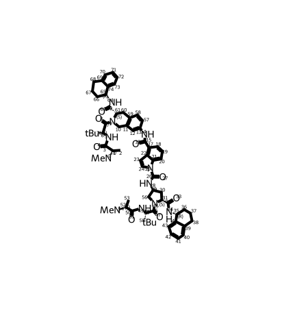 CN[C@@H](C)C(=O)N[C@H](C(=O)N1Cc2cc(NC(=O)c3cccc4c3ccn4C(=O)N[C@H]3C[C@@H](C(=O)N[C@@H]4CCCc5ccccc54)N(C(=O)[C@@H](NC(=O)[C@H](C)NC)C(C)(C)C)C3)ccc2C[C@H]1C(=O)N[C@@H]1CCCc2ccccc21)C(C)(C)C